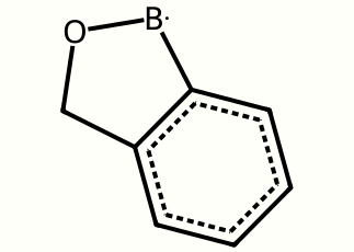 [B]1OCc2ccccc21